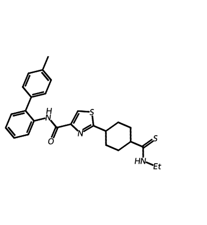 CCNC(=S)C1CCC(c2nc(C(=O)Nc3ccccc3-c3ccc(C)cc3)cs2)CC1